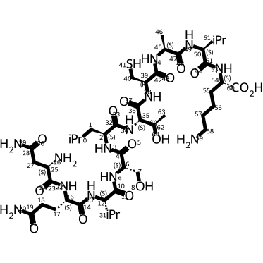 CC(C)C[C@H](NC(=O)[C@H](CO)NC(=O)[C@@H](NC(=O)[C@H](CCC(N)=O)NC(=O)[C@@H](N)CC(N)=O)C(C)C)C(=O)N[C@H](C(=O)N[C@@H](CS)C(=O)N[C@@H](C)C(=O)N[C@H](C(=O)N[C@@H](CCCCN)C(=O)O)C(C)C)[C@@H](C)O